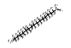 FN(F)C(F)(F)C(F)(F)C(F)(F)C(F)(F)C(F)(F)C(F)(F)C(F)(F)C(F)(F)C(F)(F)C(F)(F)C(F)(F)C(F)(F)C(F)(F)C(F)(F)C(F)(F)C(F)(F)F